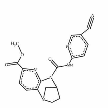 COC(=O)c1ccc2c(n1)N(C(=O)Nc1ccc(C#N)cn1)C1CCN2C1